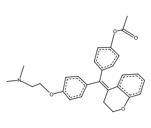 CC(=O)Oc1ccc(C(=C2CCOc3ccccc32)c2ccc(OCCN(C)C)cc2)cc1